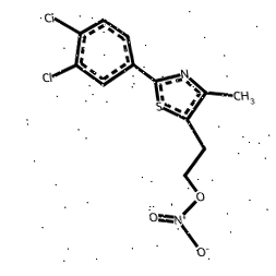 Cc1nc(-c2ccc(Cl)c(Cl)c2)sc1CCO[N+](=O)[O-]